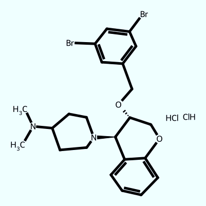 CN(C)C1CCN([C@@H]2c3ccccc3OC[C@H]2OCc2cc(Br)cc(Br)c2)CC1.Cl.Cl